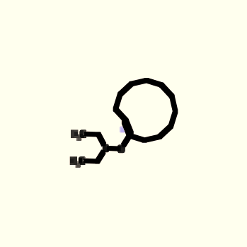 CCB(CC)O/C1=C\CCCCCCCCCC1